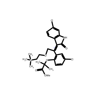 COC(=O)C(C)(C)Oc1ccc(Cl)cc1/C(COCC[Si](C)(C)C)=C1\C(=O)Nc2cc(Cl)ccc21